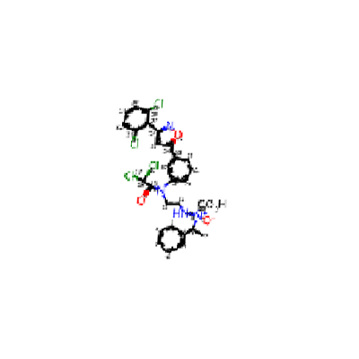 CC(c1ccccc1)[N+]([O-])(NCCN(C(=O)C(Cl)Cl)c1cccc(-c2cc(-c3c(Cl)cccc3Cl)no2)c1)C(=O)O